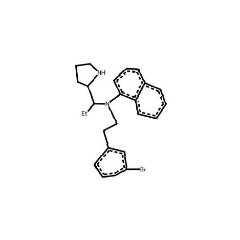 CCC(C1CCCN1)N(CCc1cccc(Br)c1)c1cccc2ccccc12